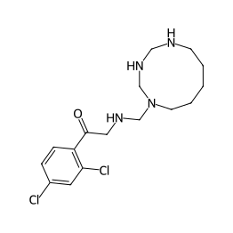 O=C(CNCN1CCCCCNCNC1)c1ccc(Cl)cc1Cl